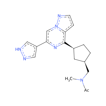 CC(=O)N(C)C[C@@H]1CC[C@H](c2nc(-c3cn[nH]c3)cn3nccc23)C1